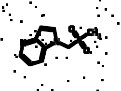 CS(=O)(=O)Cn1ccc2ncccc21